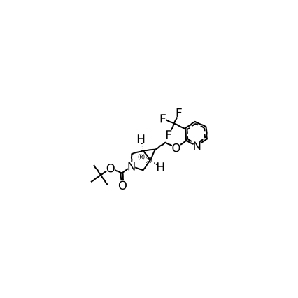 CC(C)(C)OC(=O)N1C[C@@H]2C(COc3ncccc3C(F)(F)F)[C@@H]2C1